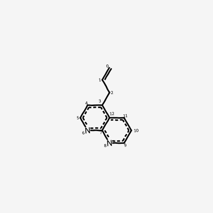 C=CCc1ccnc2ncccc12